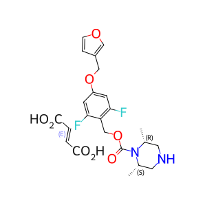 C[C@@H]1CNC[C@H](C)N1C(=O)OCc1c(F)cc(OCc2ccoc2)cc1F.O=C(O)/C=C/C(=O)O